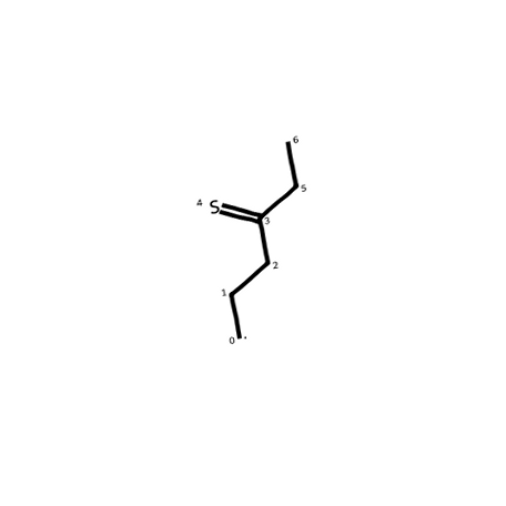 [CH2]CCC(=S)CC